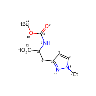 CCn1ccc(CC(NC(=O)OC(C)(C)C)C(=O)O)n1